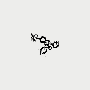 Cc1nnc(-c2ccc(CN(c3cccnc3)S(=O)(=O)N3C[C@@H](C)N(C)[C@@H](C)C3)cc2)o1